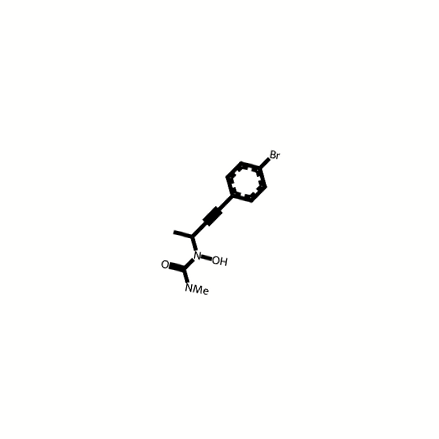 CNC(=O)N(O)C(C)C#Cc1ccc(Br)cc1